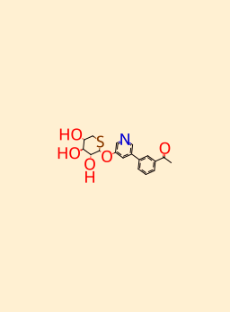 CC(=O)c1cccc(-c2cncc(O[C@H]3SC[C@@H](O)[C@H](O)[C@H]3O)c2)c1